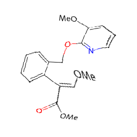 CO/C=C(/C(=O)OC)c1ccccc1COc1ncccc1OC